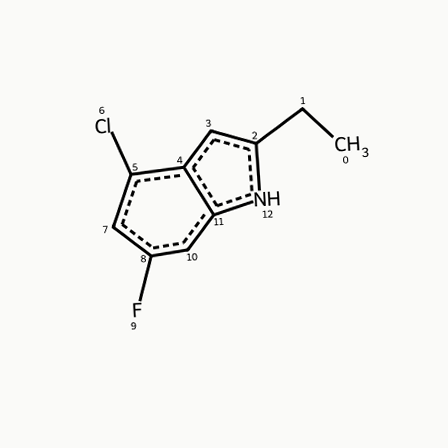 CCc1cc2c(Cl)cc(F)cc2[nH]1